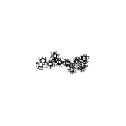 c1cc(-c2cccc3ccccc23)cc(-n2c3ccccc3c3cc(-c4ccc5c(c4)c4ccccc4n5-c4ccc5c(c4)C4(c6ccccc6-5)C5CC6CC(C5)CC4C6)ccc32)c1